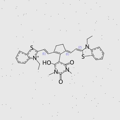 CCN1/C(=C/C=C2\CCC(/C=C/c3sc4ccccc4[n+]3CC)=C2c2c(O)n(C)c(=O)n(C)c2=O)Sc2ccccc21